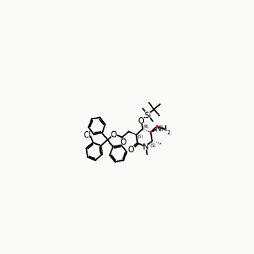 CCC[C@@H](O[Si](C)(C)C(C)(C)C)[C@H](CC(=O)OC(c1ccccc1)(c1ccccc1)c1ccccc1Cl)C(=O)N(C)[C@@H](C)CN